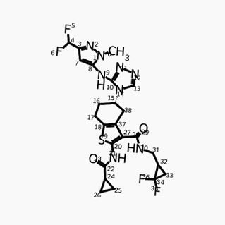 Cn1nc(C(F)F)cc1Nc1nncn1[C@H]1CCc2sc(NC(=O)C3CC3)c(C(=O)NCC3CC3(F)F)c2C1